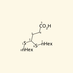 CCCCCCSC(CCC(=O)O)SCCCCCC